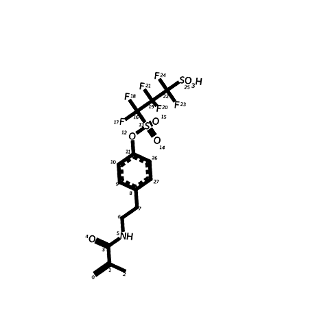 C=C(C)C(=O)NCCc1ccc(OS(=O)(=O)C(F)(F)C(F)(F)C(F)(F)S(=O)(=O)O)cc1